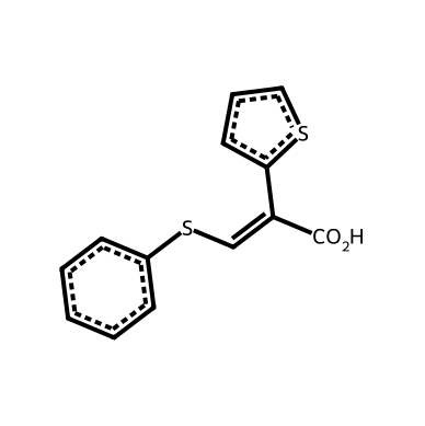 O=C(O)C(=CSc1ccccc1)c1cccs1